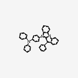 c1ccc(-c2c3ccccc3n3c4ccccc4n(-c4ccc(N(c5ccccc5)c5ccccc5)cc4)c23)cc1